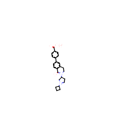 O=C(O)c1ccc(-c2ccc3c(c2)CCN(C2CCN(C4CCC4)C2)C3=O)cc1